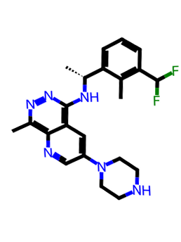 Cc1c(C(F)F)cccc1[C@@H](C)Nc1nnc(C)c2ncc(N3CCNCC3)cc12